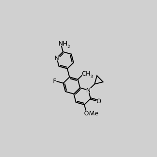 COc1cc2cc(F)c(-c3ccc(N)nc3)c(C)c2n(C2CC2)c1=O